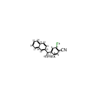 CCCCCCC(c1ccc(C#N)c(F)c1)c1ccc2ccccc2c1